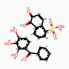 O=C(c1ccccc1)c1ccc(O)c(O)c1O.O=C1C=Cc2c(cccc2S(=O)(=O)O)C1=O